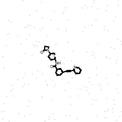 O=C(Nc1ccc(N2CCC2=O)cc1)c1cccc(C#Cc2ccccn2)c1